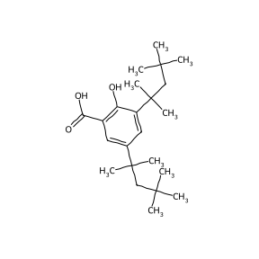 CC(C)(C)CC(C)(C)c1cc(C(=O)O)c(O)c(C(C)(C)CC(C)(C)C)c1